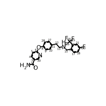 NC(=O)c1ccc(Oc2ccc(CCNCc3ccc(F)cc3C(F)(F)F)cc2)nc1